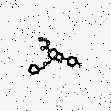 CC(C)(C)OC(=O)N1Cc2cc(-c3ccc(F)cc3)nn2[C@@H](COCc2ccccc2)C1